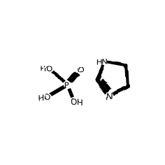 C1=NCCN1.O=P(O)(O)O